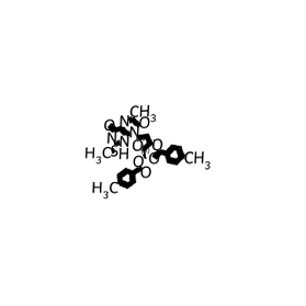 CSc1nc(=O)c2nc(C)c(=O)n([C@H]3C[C@H](OC(=O)c4ccc(C)cc4)[C@@H](COC(=O)c4ccc(C)cc4)O3)c2[nH]1